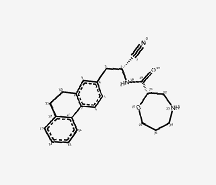 N#C[C@@H](Cc1ccc2c(c1)CCc1ccccc1-2)NC(=O)[C@@H]1CNCCCO1